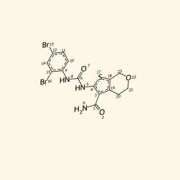 NC(=O)c1c(NC(=O)Nc2ccc(Br)cc2Br)sc2c1CCOC2